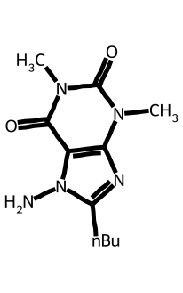 CCCCc1nc2c(c(=O)n(C)c(=O)n2C)n1N